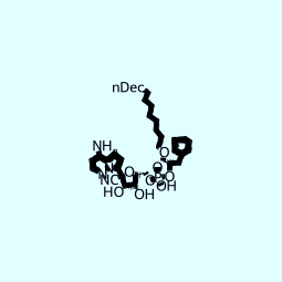 CCCCCCCCCCCCCCCCCCOC[C@H](Cc1ccccc1)OP(=O)(O)OC[C@H]1O[C@@](C#N)(c2ccc3c(N)ccnn23)[C@H](O)[C@@H]1O